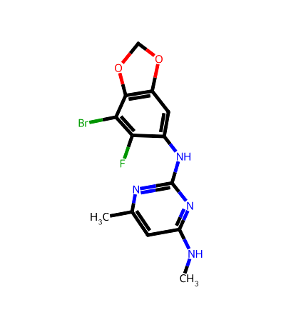 CNc1cc(C)nc(Nc2cc3c(c(Br)c2F)OCO3)n1